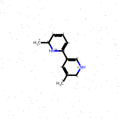 CC1=CC(C2=CC=CC(C)N2)=CNC1